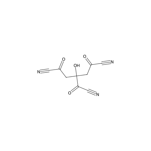 N#CC(=O)CC(O)(CC(=O)C#N)C(=O)C#N